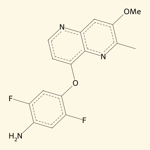 COc1cc2nccc(Oc3cc(F)c(N)cc3F)c2nc1C